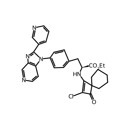 CCOC(=O)[C@H](Cc1ccc(-n2c(-c3cccnc3)nc3cnccc32)cc1)NC1=C(Cl)C(=O)C12CCCCC2